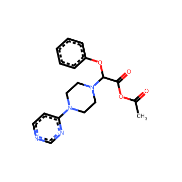 CC(=O)OC(=O)C(Oc1ccccc1)N1CCN(c2ccncn2)CC1